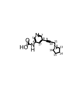 O=C(O)Nc1cncc(C#CCN2CCCC2)c1